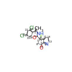 C[C@@H](NC(=O)[C@]1(F)CCC(=O)c2ncccc21)c1ccc(Cl)cc1Cl